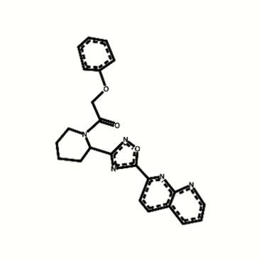 O=C(COc1ccccc1)N1CCCCC1c1noc(-c2ccc3cccnc3n2)n1